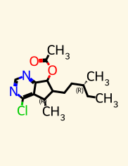 CC[C@@H](C)CCC1C(OC(C)=O)c2ncnc(Cl)c2[C@@H]1C